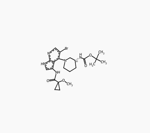 COC1(C(=O)Nc2c[nH]c3ncc(Br)c(N4CCC[C@@H](NC(=O)OC(C)(C)C)C4)c23)CC1